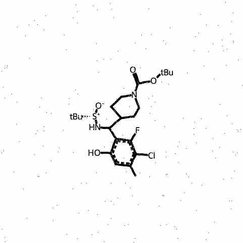 Cc1cc(O)c(C(N[S@@+]([O-])C(C)(C)C)C2CCN(C(=O)OC(C)(C)C)CC2)c(F)c1Cl